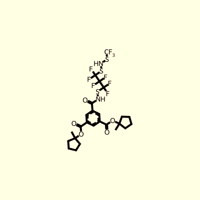 CC1(OC(=O)c2cc(C(=O)NSC(F)(F)C(F)(F)C(F)(F)SNSC(F)(F)F)cc(C(=O)OC3(C)CCCC3)c2)CCCC1